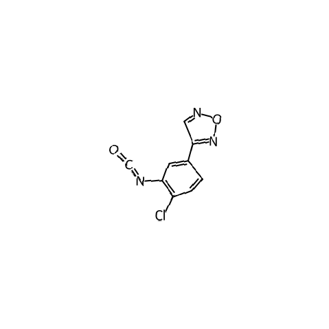 O=C=Nc1cc(-c2cnon2)ccc1Cl